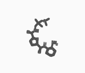 CN(C)CC(C)(C)CNC(=O)c1ccc(C(=O)Nc2ccccc2N)s1